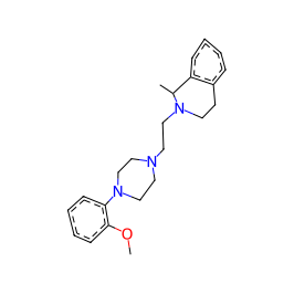 COc1ccccc1N1CCN(CCN2CCc3ccccc3C2C)CC1